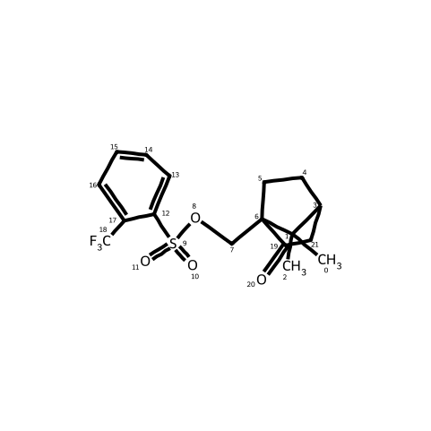 CC1(C)C2CCC1(COS(=O)(=O)c1ccccc1C(F)(F)F)C(=O)C2